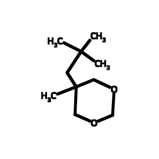 CC(C)(C)CC1(C)COCOC1